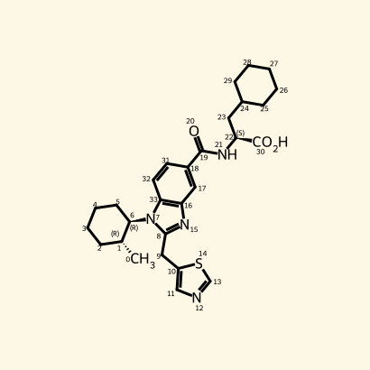 C[C@@H]1CCCC[C@H]1n1c(Cc2cncs2)nc2cc(C(=O)N[C@@H](CC3CCCCC3)C(=O)O)ccc21